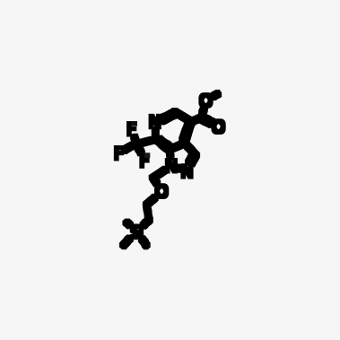 COC(=O)c1cnc(C(F)(F)F)c2c1cnn2COCC[Si](C)(C)C